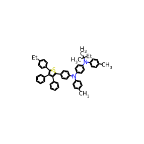 CCc1ccc(-c2sc(-c3ccc(N(c4ccc(C)cc4)c4ccc(N(c5ccc(C)cc5)C(C)(C)CC)cc4)cc3)c(-c3ccccc3)c2-c2ccccc2)cc1